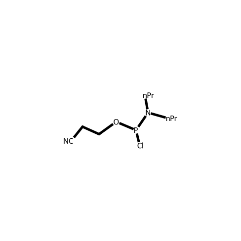 CCCN(CCC)P(Cl)OCCC#N